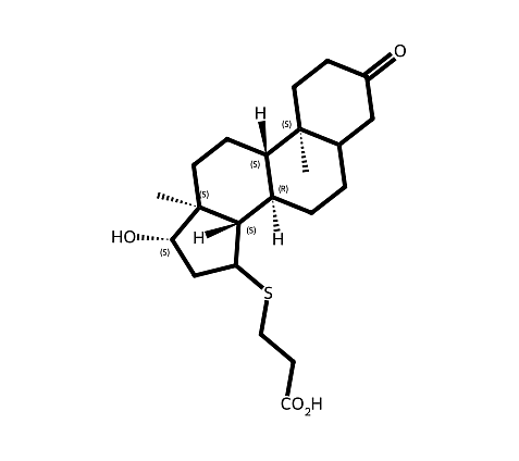 C[C@]12CC[C@H]3[C@@H](CCC4CC(=O)CC[C@@]43C)[C@@H]1C(SCCC(=O)O)C[C@@H]2O